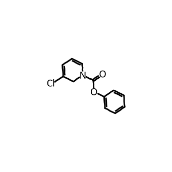 O=C(Oc1ccccc1)N1C=CC=C(Cl)C1